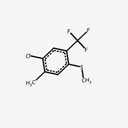 CSc1cc(C)c(Cl)cc1C(F)(F)F